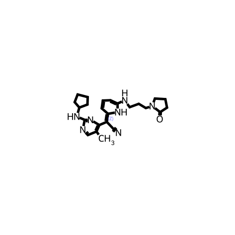 Cc1cnc(NC2CCCC2)nc1/C(C#N)=C1\C=CC=C(NCCCN2CCCC2=O)N1